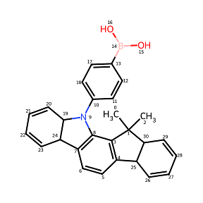 CC1(C)c2c(ccc3c2N(c2ccc(B(O)O)cc2)C2C=CC=CC32)C2C=CC=CC21